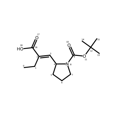 CCC(=CC1CCCN1C(=O)OC(C)(C)C)C(=O)O